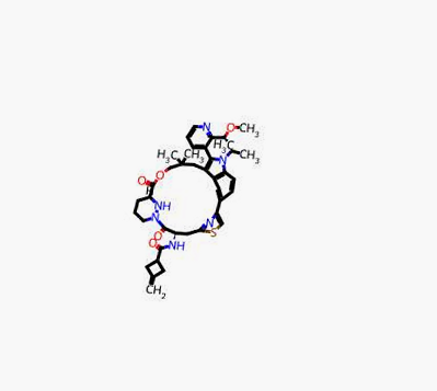 C=C1CC(C(=O)N[C@H]2Cc3nc(cs3)-c3ccc4c(c3)c(c(-c3cccnc3[C@H](C)OC)n4CC)CC(C)(C)COC(=O)[C@@H]3CCCN(N3)C2=O)C1